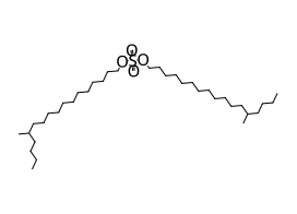 CCCCC(C)CCCCCCCCCCCCOS(=O)(=O)OCCCCCCCCCCCCC(C)CCCC